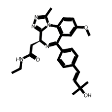 CCNC(=O)C[C@@H]1N=C(c2ccc(C=CC(C)(C)O)cc2)c2cc(OC)ccc2-n2c(C)nnc21